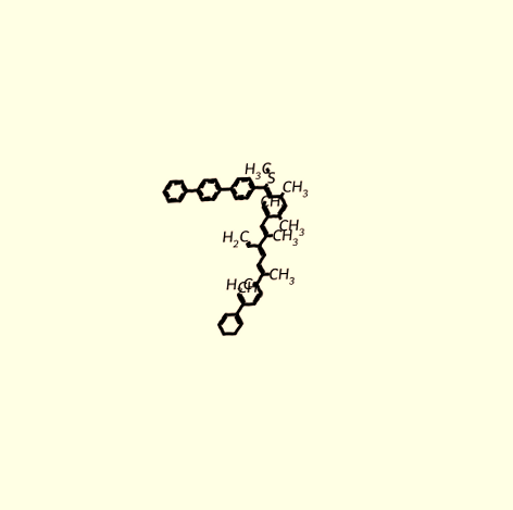 C=CC(=C\C=C(/C)C(=C)/C=C\C(=C/C)C1=CCCC=C1)/C(C)=C/C(=C/C)C(/C)=C\C(C)/C=C(\SC)c1ccc(-c2ccc(-c3ccccc3)cc2)cc1